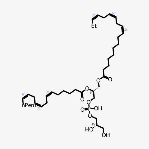 CC/C=C\C/C=C\C/C=C\CCCCCCCC(=O)OC[C@H](COP(=O)(O)OC[C@@H](O)CO)OC(=O)CCCC/C=C\C/C=C\C/C=C\CCCCC